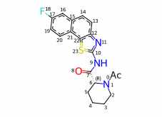 CC(=O)N1CCCC[C@@H]1C(=O)Nc1nc2ccc3cc(F)ccc3c2s1